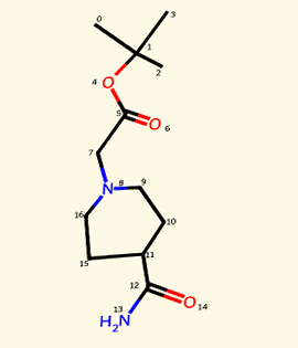 CC(C)(C)OC(=O)CN1CCC(C(N)=O)CC1